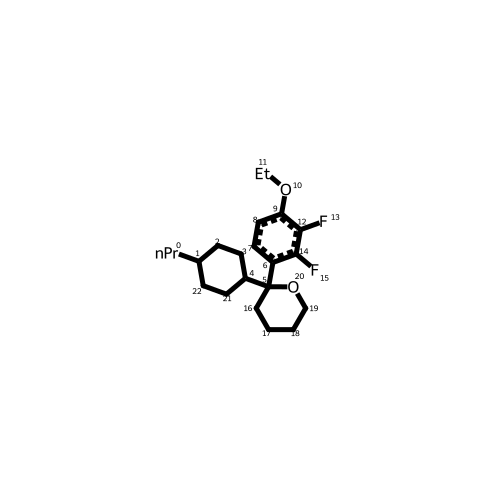 CCCC1CCC(C2(c3ccc(OCC)c(F)c3F)CCCCO2)CC1